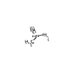 CNP.[KH]